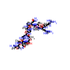 CCCC[C@H](NC(=O)[C@@H](NC(=O)[C@H](CC(=O)O)NC(=O)[C@H](CCC(N)=O)NC(=O)[C@H](CC(C)C)NC(=O)[C@H](CC(C)C)NC(=O)[C@H](CCCN)NC(=O)[C@H](Cc1c[nH]cn1)NC(=O)[C@H](C)NC(=O)[C@H](CO)NC(=O)[C@H](CC(C)C)NC(=O)[C@H](CCC(N)=O)NC(=O)[C@H](CC)NC(=O)[C@H](CC(C)C)NC(=O)[C@@H](N)C(C)C)[C@@H](C)CC)C(=O)N[C@H](CCCNC(=N)N)C(=O)N[C@@H](CCCCNC(=N)N)C(=O)NC